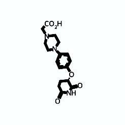 O=C(O)CN1CCN(c2ccc(O[C@H]3CCC(=O)NC3=O)cc2)CC1